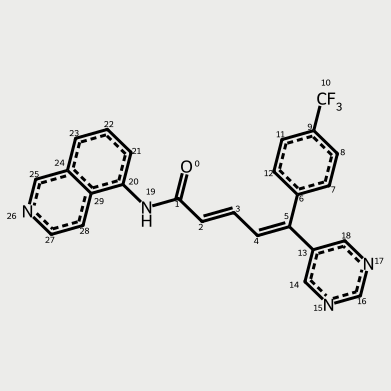 O=C(/C=C/C=C(\c1ccc(C(F)(F)F)cc1)c1cncnc1)Nc1cccc2cnccc12